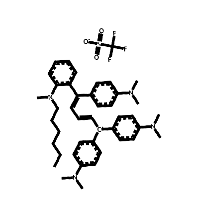 CCCCCCN(C)c1ccccc1C(=CC=C[C+](c1ccc(N(C)C)cc1)c1ccc(N(C)C)cc1)c1ccc(N(C)C)cc1.O=S(=O)([O-])C(F)(F)F